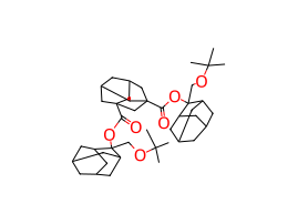 CC(C)(C)OCC1(OC(=O)C23CC4CC(C2)CC(C(=O)OC2(COC(C)(C)C)C5CC6CC(C5)CC2C6)(C4)C3)C2CC3CC(C2)CC1C3